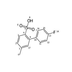 Cc1ccc(S(=O)(=O)O)c(-c2ccc(F)cc2)c1